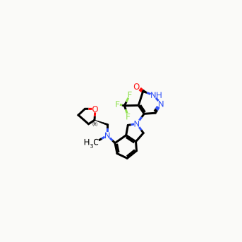 CN(C[C@H]1CCCO1)c1cccc2c1CN(c1cn[nH]c(=O)c1C(F)(F)F)C2